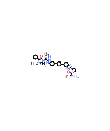 CC(C)[C@H](N)C(=O)N1CCC[C@H]1c1nc2ccc(-c3ccc(-c4ccc5nc([C@H](C)NC(=O)[C@@H](c6ccccc6)N(C)C)[nH]c5c4)cc3)cc2[nH]1